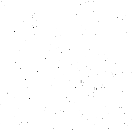 CCOC(=O)c1[nH]c2c(-c3c(Br)nn(C)c3NCc3ccccc3)cccc2c1CCCOc1cccc2ccccc12